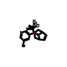 C=C(Cl)CN1C2C=CC1CC(C(N)=S)(c1cncc(Br)c1)C2